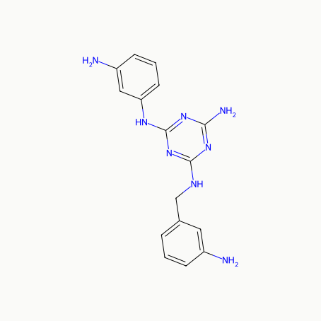 Nc1cccc(CNc2nc(N)nc(Nc3cccc(N)c3)n2)c1